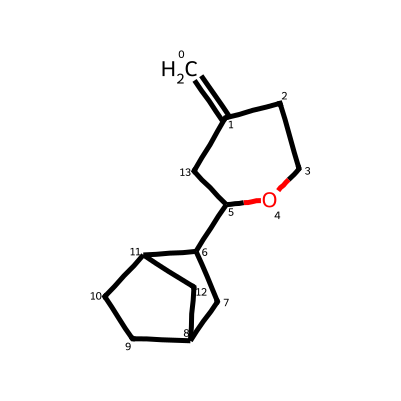 C=C1CCOC(C2CC3CCC2C3)C1